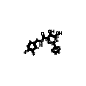 O=C(NCc1ccc(F)c(F)c1)c1nc(-c2nccs2)nc(O)c1O